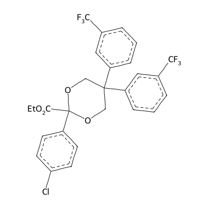 CCOC(=O)C1(c2ccc(Cl)cc2)OCC(c2cccc(C(F)(F)F)c2)(c2cccc(C(F)(F)F)c2)CO1